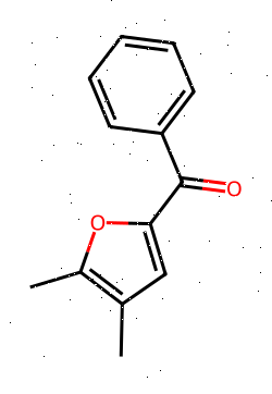 Cc1cc(C(=O)c2ccccc2)oc1C